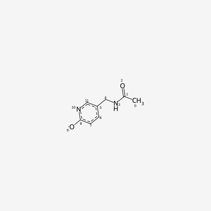 CC(=O)NCc1ccc([O])nc1